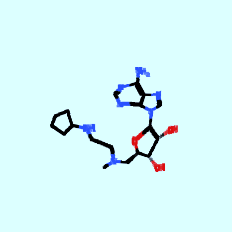 CN(CCNC1CCCC1)C[C@H]1O[C@@H](n2cnc3c(N)ncnc32)[C@H](O)[C@@H]1O